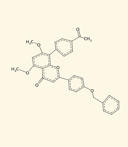 COc1cc(OC)c2c(=O)cc(-c3ccc(OCc4ccccc4)cc3)oc2c1-c1ccc(C(C)=O)cc1